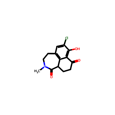 CN1CCc2cc(Cl)c(O)c3c2C(CCC3=O)C1=O